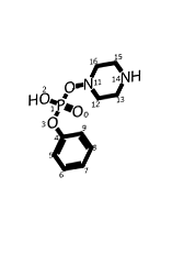 O=P(O)(Oc1ccccc1)ON1CCNCC1